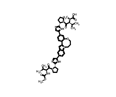 COC(=O)N[C@H](C(=O)N1CCC[C@H]1c1ncc(-c2ccc3c(c2)cc2n3CCCOc3cc(-c4cnc([C@@H]5CCCN5C(=O)[C@H](C(C)C)N(C)C(=O)O)[nH]4)ccc3-2)[nH]1)C(C)C